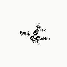 CCCCCC[n+]1ccc(-c2ccc[n+](C)c2-c2cc[n+](CCCCCC)cc2)cc1.F[B-](F)(F)F.F[B-](F)(F)F.F[B-](F)(F)F